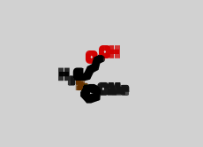 COc1cccc(SC(C)CCCC(=O)CO)c1